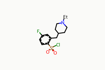 CCN1CCC(Cc2cc(F)ccc2S(=O)(=O)Cl)CC1